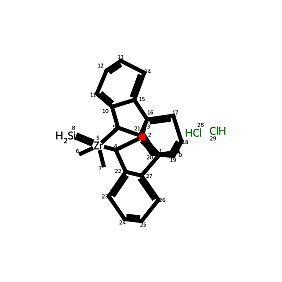 CC1=C(C)[CH]([Zr]([CH3])([CH3])(=[SiH2])[CH]2c3ccccc3-c3ccccc32)c2ccccc21.Cl.Cl